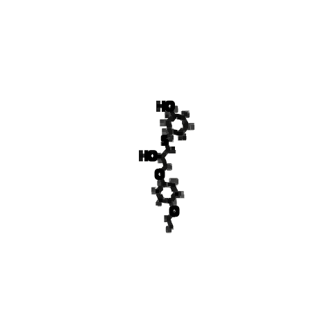 CCOc1ccc(OCC(O)CSc2cccc(O)c2)cc1